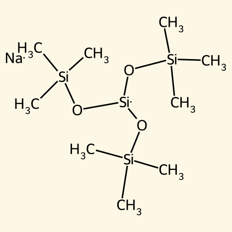 C[Si](C)(C)O[Si](O[Si](C)(C)C)O[Si](C)(C)C.[Na]